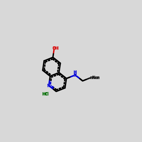 CCCCCCCCCCNc1ccnc2ccc(O)cc12.Cl